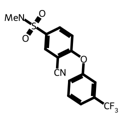 CNS(=O)(=O)c1ccc(Oc2cccc(C(F)(F)F)c2)c(C#N)c1